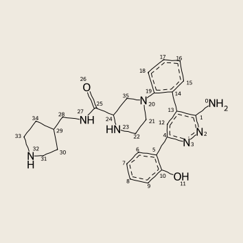 Nc1nnc(-c2ccccc2O)cc1-c1ccccc1N1CCNC(C(=O)NCC2CCNCC2)C1